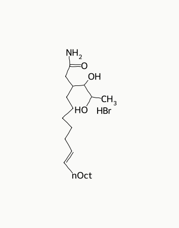 Br.CCCCCCCCC=CCCCCCC(CC(N)=O)C(O)C(C)O